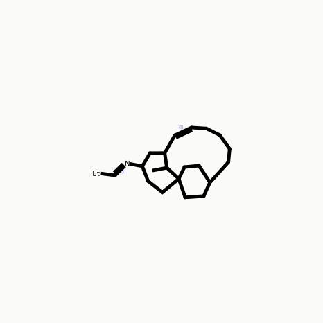 CC/C=N/C1CCC23CCC(CCCC/C=C\C(C1)C2C)CC3